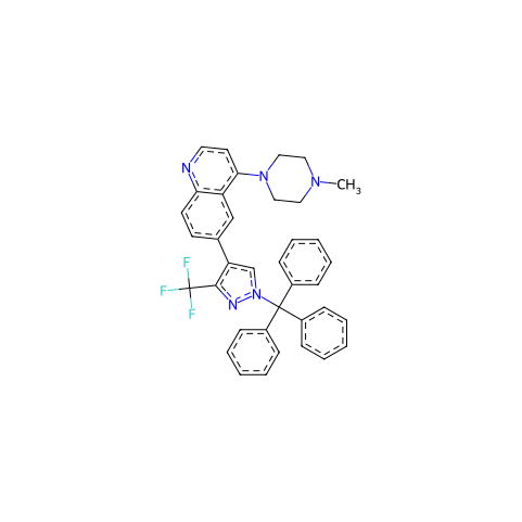 CN1CCN(c2ccnc3ccc(-c4cn(C(c5ccccc5)(c5ccccc5)c5ccccc5)nc4C(F)(F)F)cc23)CC1